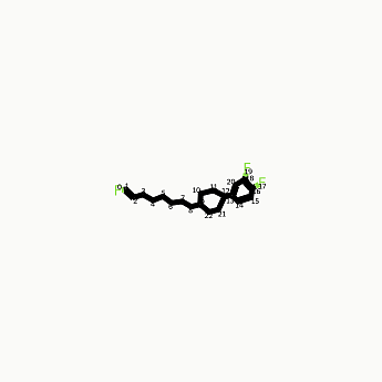 FC=CCCCCCCC1CCC(c2ccc(F)c(F)c2)CC1